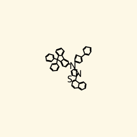 c1ccc(-c2ccc(N(c3ccc4c(c3)-c3ccccc3C4(c3ccccc3)c3ccccc3)c3cnc4c(c3)sc3ccc5ccccc5c34)cc2)cc1